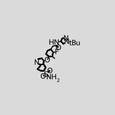 Cc1c(Oc2ccnc3ccc(S(N)(=O)=O)cc23)ccc(CC(=O)Nc2cnn(C(C)(C)C)c2)c1F